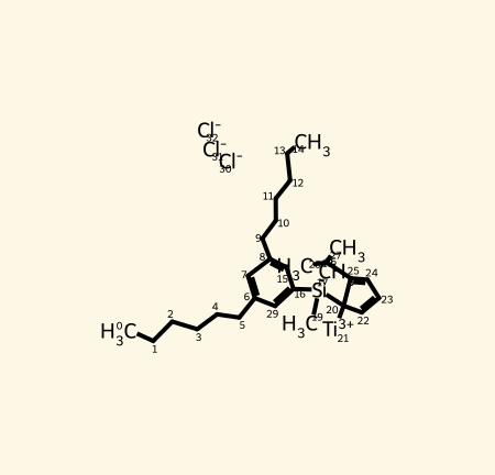 CCCCCCc1cc(CCCCCC)cc([Si](C)(C)[C]2([Ti+3])C=CC=C2C(C)C)c1.[Cl-].[Cl-].[Cl-]